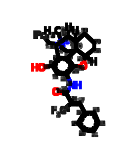 CC(C)C[N+]1(C)CC[C@]23c4c5c(O)cc(NC(=O)C(=Cc6ccccc6)C(F)(F)F)c4O[C@H]2CCC[C@H]3[C@H]1C5